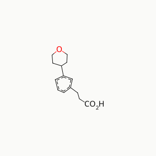 O=C(O)CCc1cccc(C2CCOCC2)c1